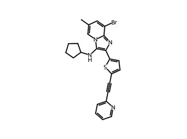 Cc1cc(Br)c2nc(-c3ccc(C#Cc4ccccn4)s3)c(NC3CCCC3)n2c1